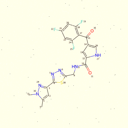 Cc1cc(-c2nnc(CNC(=O)c3cc(C(=O)c4c(F)cc(F)cc4F)c[nH]3)s2)nn1C